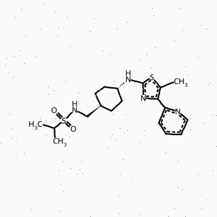 Cc1sc(N[C@H]2CC[C@H](CNS(=O)(=O)C(C)C)CC2)nc1-c1ccccn1